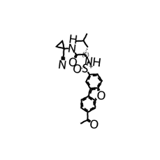 CC(=O)c1ccc2c(c1)oc1ccc([S+]([O-])N[C@@H](CC(C)C)C(=O)NC3(C#N)CC3)cc12